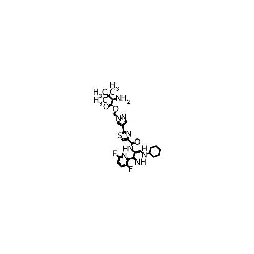 CC(C)(C)C(N)C(=O)OCn1cc(-c2nc(C(=O)N/C(=C/NC3CCCCC3)C(=N)c3nc(F)ccc3F)cs2)cn1